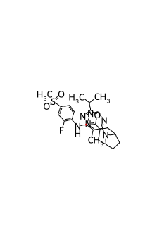 Cc1c(Nc2ccc(S(C)(=O)=O)cc2F)ncnc1N1C2CCC1CC(c1nnc(C(C)C)o1)C2